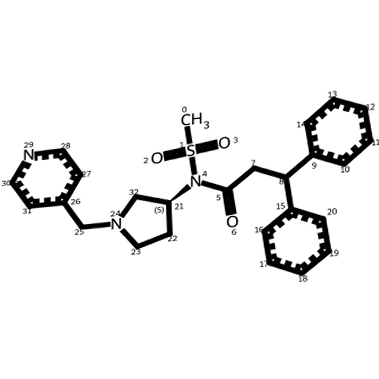 CS(=O)(=O)N(C(=O)CC(c1ccccc1)c1ccccc1)[C@H]1CCN(Cc2ccncc2)C1